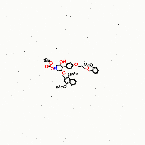 COc1ccccc1COCCCOc1ccc(C2C(O)CN(OC(=O)OC(C)(C)C)CC2OCc2cc(OC)c3ccccc3c2OC)cc1